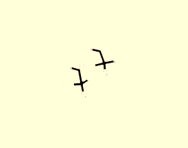 CC(C)(N)CO.CC(C)(N)CO